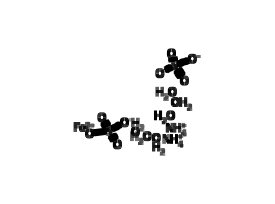 O.O.O.O.O.O.O=S(=O)([O-])[O-].O=S(=O)([O-])[O-].[Fe+2].[NH4+].[NH4+]